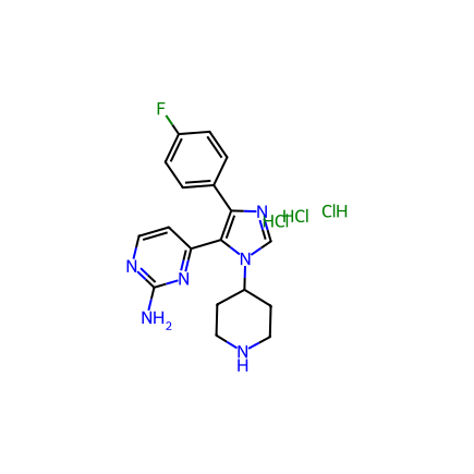 Cl.Cl.Cl.Nc1nccc(-c2c(-c3ccc(F)cc3)ncn2C2CCNCC2)n1